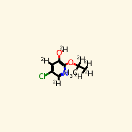 [2H]Oc1c(OC([2H])(C)C([2H])([2H])[2H])nc([2H])c(Cl)c1[2H]